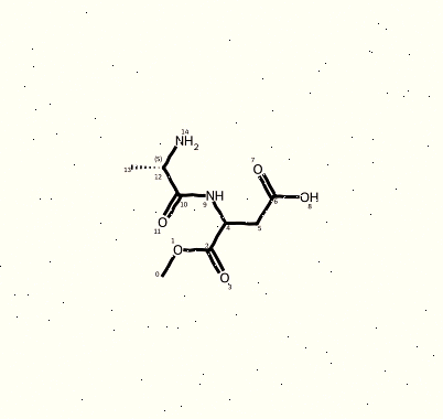 COC(=O)C(CC(=O)O)NC(=O)[C@H](C)N